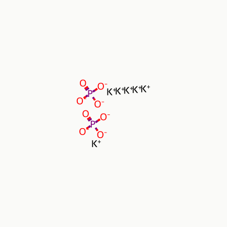 O=P([O-])([O-])[O-].O=P([O-])([O-])[O-].[K+].[K+].[K+].[K+].[K+].[K+]